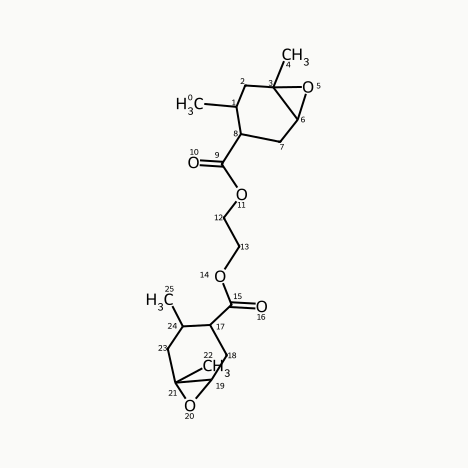 CC1CC2(C)OC2CC1C(=O)OCCOC(=O)C1CC2OC2(C)CC1C